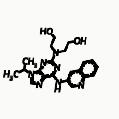 CC(C)n1cnc2c(Nc3cnc4ccccc4c3)nc(N(CCO)CCO)nc21